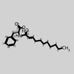 CCCCCCCCC=CC(=O)N[C@@H](Cc1ccccc1)C(=O)O